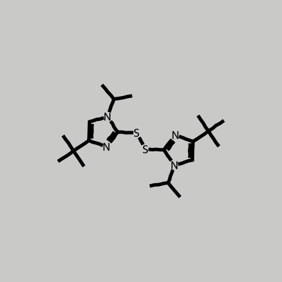 CC(C)n1cc(C(C)(C)C)nc1SSc1nc(C(C)(C)C)cn1C(C)C